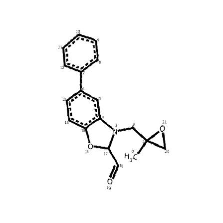 CC1(CN2c3cc(-c4ccccc4)ccc3OC2C=O)CO1